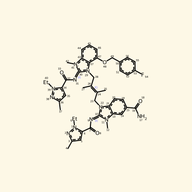 CCn1nc(C)cc1C(=O)/N=c1\n(C)c2cc(C(N)=O)ccc2n1C/C(C)=C(\C)Cn1/c(=N/C(=O)c2cc(C)nn2CC)n(C)c2cccc(OCc3ccc(F)cc3)c21